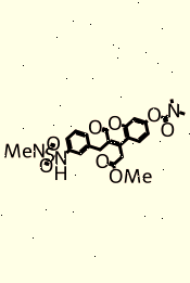 CNS(=O)(=O)Nc1cccc(Cc2c(CC(=O)OC)c3ccc(OC(=O)N(C)C)cc3oc2=O)c1